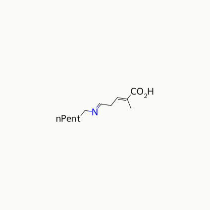 CCCCCCN=CCC=C(C)C(=O)O